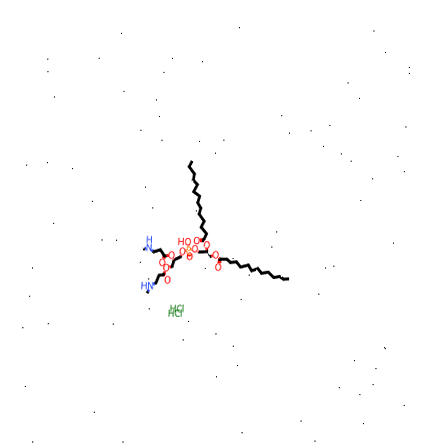 CCCCCCCCCCCCCC(=O)OC[C@H](COP(=O)(O)OCC(COC(=O)CCNC)OC(=O)CCNC)OC(=O)CCCCCCCCCCCCC.Cl.Cl